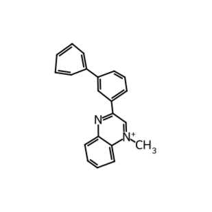 C[n+]1cc(-c2cccc(-c3ccccc3)c2)nc2ccccc21